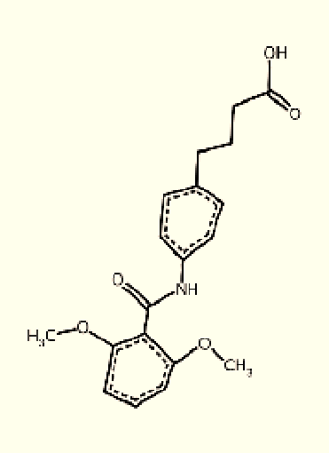 COc1cccc(OC)c1C(=O)Nc1ccc(CCCC(=O)O)cc1